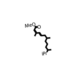 COC(=O)C=C(C)C=CCC(C)CCCC(C)C(C)C